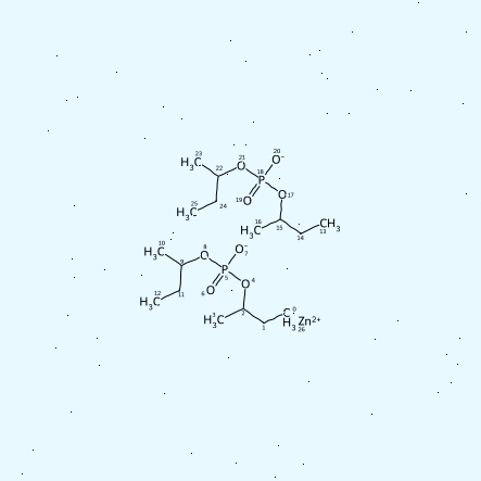 CCC(C)OP(=O)([O-])OC(C)CC.CCC(C)OP(=O)([O-])OC(C)CC.[Zn+2]